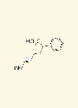 CCC/C=C/CCC(C(=O)O)c1ccccc1